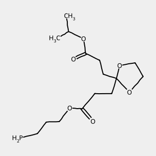 CC(C)OC(=O)CCC1(CCC(=O)OCCCP)OCCO1